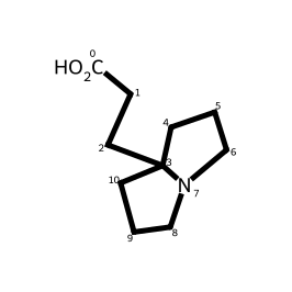 O=C(O)CCC12CCCN1CCC2